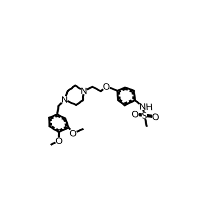 COc1ccc(CN2CCN(CCOc3ccc(NS(C)(=O)=O)cc3)CC2)cc1OC